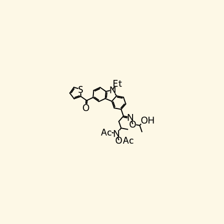 CCn1c2ccc(C(=O)c3cccs3)cc2c2cc(/C(CC(C)N(OC(C)=O)C(C)=O)=N/OC(C)O)ccc21